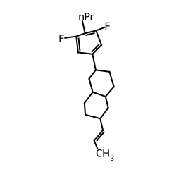 CC=CC1CCC2CC(c3cc(F)c(CCC)c(F)c3)CCC2C1